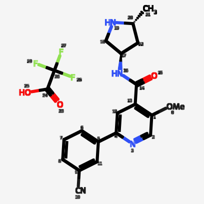 COc1cnc(-c2cccc(C#N)c2)cc1C(=O)N[C@H]1CN[C@H](C)C1.O=C(O)C(F)(F)F